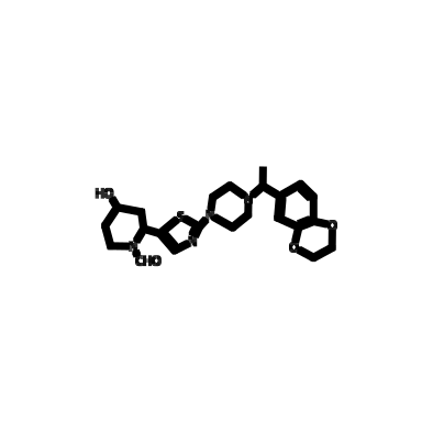 CC(c1ccc2c(c1)OCCO2)N1CCN(c2ncc(C3CC(O)CCN3C=O)s2)CC1